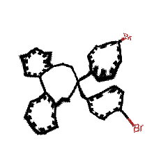 Brc1ccc(C2(c3ccc(Br)cc3)Cc3ccccc3-c3ccccc3C2)cc1